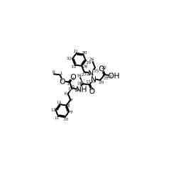 CCOC(=O)[C@H](CCc1ccccc1)N[C@@H](C)C(=O)N(CC(=O)O)N(CC)Cc1ccccc1